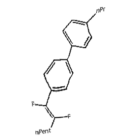 CCCCC/C(F)=C(\F)c1ccc(-c2ccc(CCC)cc2)cc1